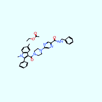 CCOC(C)=O.Cc1ccc2c(c1)c(C(=O)N1CCN(c3cnc(C(=O)NCc4ccccc4)cn3)CC1)c(-c1ccccc1)n2C